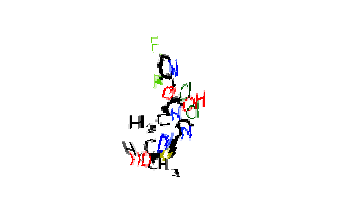 CC1=CC(OCc2ncc(F)cc2F)=C(Cl)[C@@H](O)N1c1cc(-c2csc(C(C)(C)O)n2)ncc1Cl